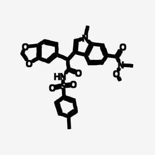 CON(C)C(=O)c1ccc2c(C(C(=O)NS(=O)(=O)c3ccc(C)cc3)c3ccc4c(c3)OCO4)cn(C)c2c1